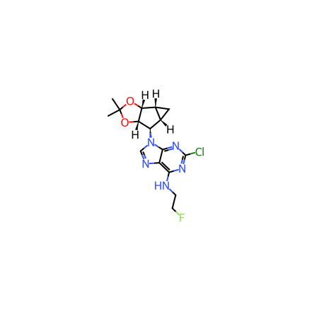 CC1(C)O[C@@H]2[C@@H]3C[C@@H]3[C@@H](n3cnc4c(NCCF)nc(Cl)nc43)[C@@H]2O1